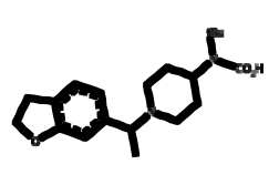 CC(c1ccc2c(c1)OCC2)N1CCC(N(C(=O)O)C(C)(C)C)CC1